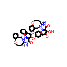 CN1C(=O)c2c(Oc3cccc([C@@H]4c5ccccc5OCCC[C@H]5N(C)C(=O)c6c(O)c(=O)ccn6N45)c3)c(=O)ccn2N2[C@@H](c3ccccc3)c3ccccc3OCCC[C@H]12